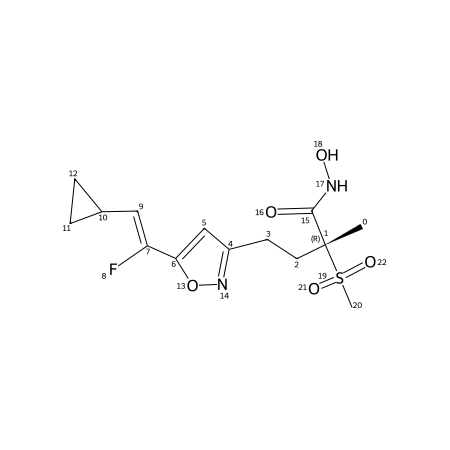 C[C@@](CCc1cc(C(F)=CC2CC2)on1)(C(=O)NO)S(C)(=O)=O